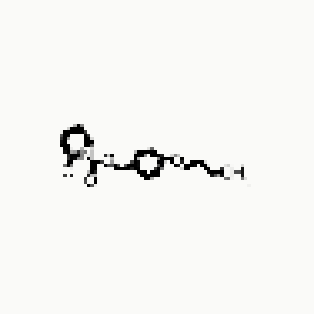 CCCCOc1ccc(COC(=O)n2ccccc2=O)cc1